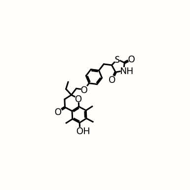 CCC1(COc2ccc(CC3SC(=O)NC3=O)cc2)CC(=O)c2c(C)c(O)c(C)c(C)c2O1